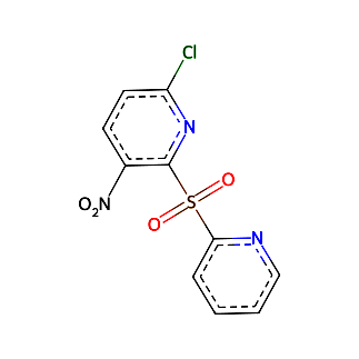 O=[N+]([O-])c1ccc(Cl)nc1S(=O)(=O)c1ccccn1